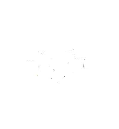 CC(C)(CC(O)(Cc1cc(C(F)(F)F)cc(Cl)c1F)C(F)(F)F)c1cc(Br)cc2c1OCC2